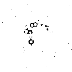 CSc1nsc(NC(=O)N[C@H]2CC3C[C@H](N(C)c4ncnc5c4ccn5S(=O)(=O)c4ccc(C)cc4)C[C@H]3C2)n1